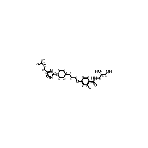 Cc1cc(OCCCC2CCN(c3noc(COC(C)C)n3)CC2)ccc1C(=O)NC[C@H](O)CO